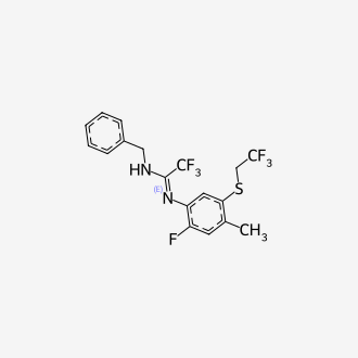 Cc1cc(F)c(/N=C(/NCc2ccccc2)C(F)(F)F)cc1SCC(F)(F)F